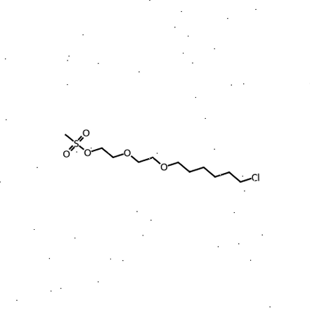 CS(=O)(=O)OCCOCCOCCCCCCCl